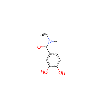 CCCN(C)C(=O)c1ccc(O)c(O)c1